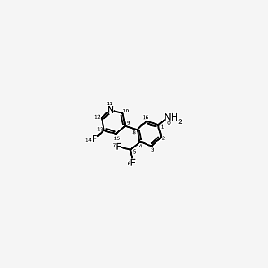 Nc1ccc(C(F)F)c(-c2cncc(F)c2)c1